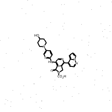 O=C(O)N1Cc2c(-c3ccnn4cccc34)ncc(Nc3ccc(N4CCC(O)CC4)cn3)c2C1=O